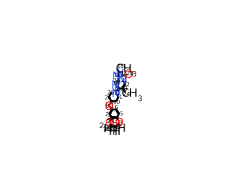 [2H]C1([2H])Oc2ccc(OC3CCN(c4nc5nn(C)c(=O)n5cc4C)CC3)cc2OC1([2H])[2H]